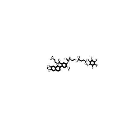 COc1cc2c(cc1OC(=O)N(C)CCOC(=O)CCC(=O)Oc1c(F)c(F)c(F)c(F)c1F)c(=O)n(CCN(C)C)c1c3cc4c(cc3ccc21)OCO4